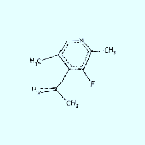 C=C(C)c1c(C)cnc(C)c1F